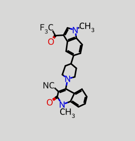 Cn1cc(C(=O)C(F)(F)F)c2cc(C3CCN(c4c(C#N)c(=O)n(C)c5ccccc45)CC3)ccc21